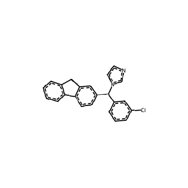 Clc1cccc(C(c2ccc3c(c2)Cc2ccccc2-3)n2ccnc2)c1